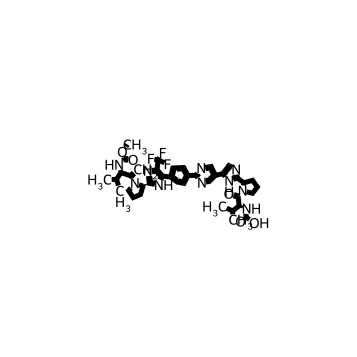 C=C(C(NC(=O)OC)C(C)C)N1CCC[C@H]1c1nc(C(F)(F)F)c(-c2ccc(-c3ncc(-c4cnc(C5CCCN5C(=O)[C@@H](NC(=O)O)C(C)C)[nH]4)cn3)cc2)[nH]1